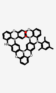 Cc1cc(C)c(N2c3cc4c(cc3B3c5ccccc5Oc5cccc2c53)B2c3cc5c(cc3Oc3cccc(c32)O4)Nc2cccc3c2B5c2ccccc2O3)c(C)c1